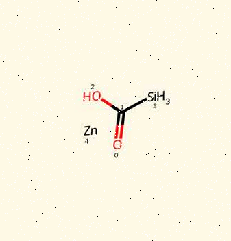 O=C(O)[SiH3].[Zn]